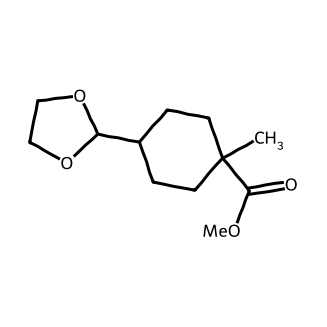 COC(=O)C1(C)CCC(C2OCCO2)CC1